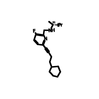 CC(C)[C@@H](C)NCc1nc(C#CCCC2CCCCC2)ccc1F